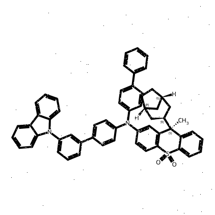 C[C@]1([C@H]2C[C@@H]3CC[C@@H](C3)C2)c2ccccc2S(=O)(=O)c2ccc(N(c3ccc(-c4ccccc4)cc3)c3ccc(-c4cccc(-n5c6ccccc6c6ccccc65)c4)cc3)cc21